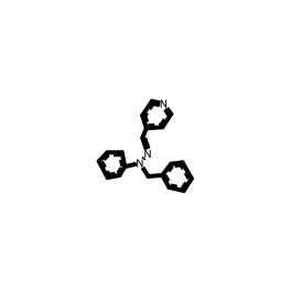 C(=N\N(Cc1ccccc1)c1ccccc1)/c1ccncc1